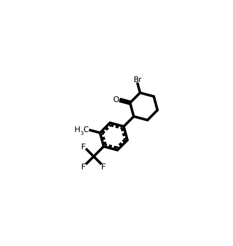 Cc1cc(C2CCCC(Br)C2=O)ccc1C(F)(F)F